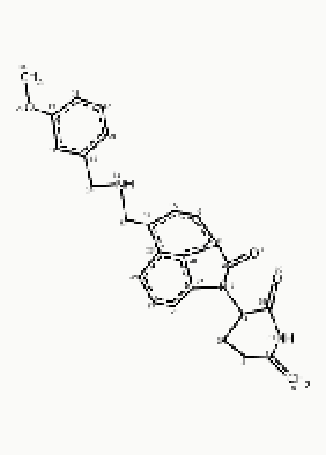 C=C1CCC(N2C(=O)c3ccc(CNCc4cccc(OC)c4)c4cccc2c34)C(=O)N1